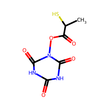 CC(S)C(=O)On1c(=O)[nH]c(=O)[nH]c1=O